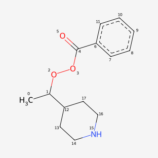 CC(OOC(=O)c1ccccc1)C1CCNCC1